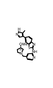 CO[C@@H]1CCN(Cc2ccnc(Nc3nc4ccc(-c5cn[nH]c5C)cc4s3)c2)C1